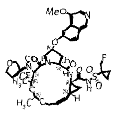 COc1cncc2ccc(O[C@@H]3C[C@H]4C(=O)N[C@]5(C(=O)NS(=O)(=O)C6(CF)CC6)C[C@H]5C=CCC[C@H](C)C[C@@H](C)[C@H](N(C(=O)O)C5(C(F)(F)F)CCOC5)C(=O)N4C3)cc12